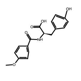 COc1ccc(C(=O)N[C@H](Cc2ccc(O)cc2)C(=O)O)cc1